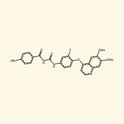 CCCCc1ccc(C(=O)NC(=S)Nc2ccc(Oc3ccnc4cc(OC)c(OC)cc34)c(F)c2)cc1